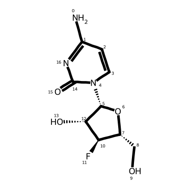 Nc1ccn([C@@H]2O[C@H](CO)[C@@H](F)[C@@H]2O)c(=O)n1